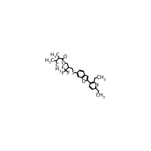 CCc1ccc(-c2cc3ccc(SCC(COC(=O)C(C)C(C)C)C(F)(F)F)cc3o2)c(CC)n1